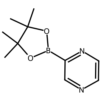 CC1(C)OB(c2cnccn2)OC1(C)C